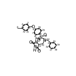 Cc1ccc(Oc2ccc(S(=O)(=O)N(Cc3ccccc3)CC3NC(=O)NC3=O)cc2)cc1